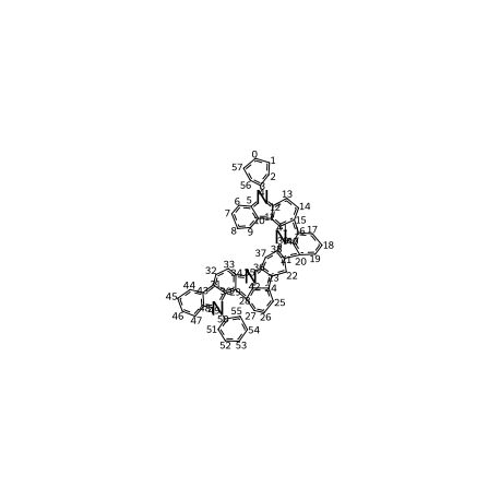 c1ccc(-n2c3ccccc3c3c2ccc2c4cccc5c6cc7c8cccc9c%10c%11c(ccc%10n(c7cc6n(c54)c23)c89)c2ccccc2n%11-c2ccccc2)cc1